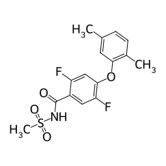 Cc1ccc(C)c(Oc2cc(F)c(C(=O)NS(C)(=O)=O)cc2F)c1